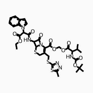 CCOC(=O)C(C(=O)NC1C(=O)N2C(C(=O)OCOC(=O)C(NC(=O)OC(C)(C)C)C(C)C)=C(CSc3nnc(C)s3)CSC12)n1ccc2ccccc21